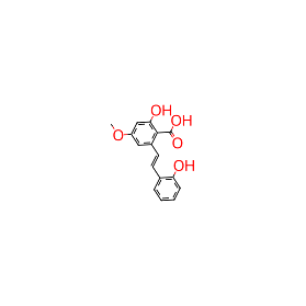 COc1cc(O)c(C(=O)O)c(C=Cc2ccccc2O)c1